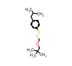 CC(C)Cc1ccc(SSCOCC(C)(C)C)cc1